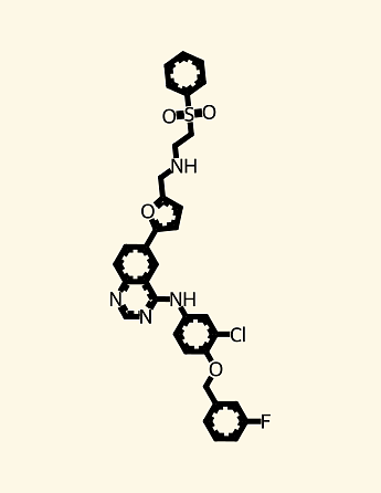 O=S(=O)(CCNCc1ccc(-c2ccc3ncnc(Nc4ccc(OCc5cccc(F)c5)c(Cl)c4)c3c2)o1)c1ccccc1